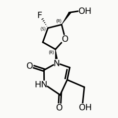 O=c1[nH]c(=O)n([C@H]2C[C@H](F)[C@@H](CO)O2)cc1CO